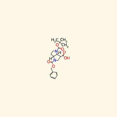 CC(C)(C)OC(=O)N1CC[C@@H]2[C@H]1C(C(=O)O)CN2C(=O)OCc1ccccc1